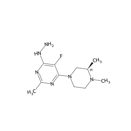 Cc1nc(NN)c(F)c(N2CCN(C)[C@H](C)C2)n1